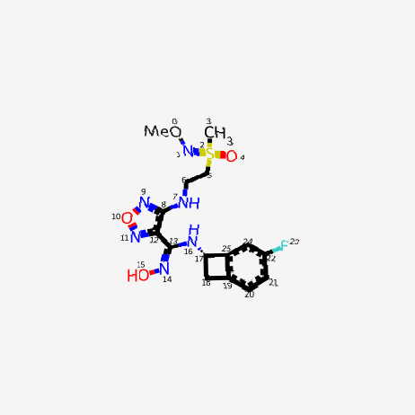 CON=S(C)(=O)CCNc1nonc1/C(=N\O)N[C@H]1Cc2ccc(F)cc21